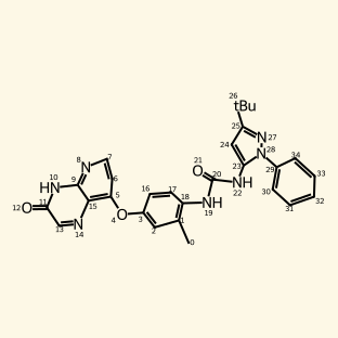 Cc1cc(Oc2ccnc3[nH]c(=O)cnc23)ccc1NC(=O)Nc1cc(C(C)(C)C)nn1-c1ccccc1